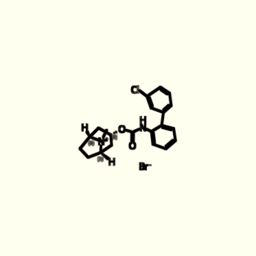 C[N+]1(C)[C@@H]2CC[C@H]1C[C@@H](OC(=O)Nc1ccccc1-c1cccc(Cl)c1)C2.[Br-]